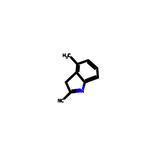 Cc1cccc2c1CC(C#N)=N2